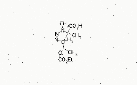 CCOC(=O)OC(C)O/N=N\N(C)C(C)(C)C(=O)O